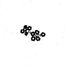 c1ccc(N2c3ccccc3[Si](c3ccccc3)(c3ccc(N4c5ccccc5C5(c6ccccc6-c6ccccc65)c5ccccc54)cc3)c3ccccc32)cc1